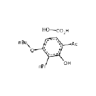 CCCCOc1ccc(C(C)=O)c(O)c1CCC.O=C(O)O